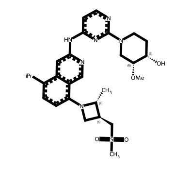 CO[C@@H]1CN(c2nccc(Nc3cc4c(C(C)C)ccc(N5C[C@H](CS(C)(=O)=O)[C@H]5C)c4cn3)n2)CC[C@@H]1O